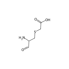 NC(C=O)CSCC(=O)O